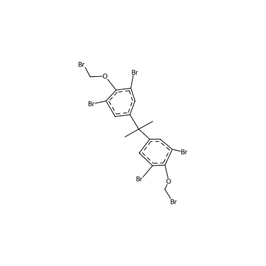 CC(C)(c1cc(Br)c(OCBr)c(Br)c1)c1cc(Br)c(OCBr)c(Br)c1